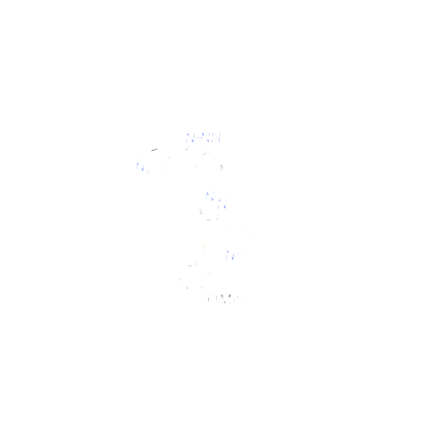 COc1cccc(F)c1CN1CCCC(c2ccn(C3C=Cc4[nH]nc(-c5ccncc5)c4C3)n2)C1